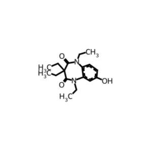 CCN1C(=O)C(CC)(CC)C(=O)N(CC)c2cc(O)ccc21